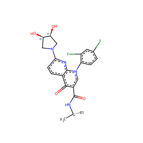 CC[C@@H](NC(=O)c1cn(-c2ccc(F)cc2F)c2nc(N3C[C@@H](O)[C@@H](O)C3)ccc2c1=O)C(F)(F)F